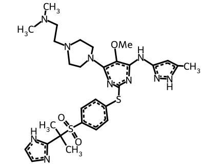 COc1c(Nc2cc(C)[nH]n2)nc(Sc2ccc(S(=O)(=O)C(C)(C)c3ncc[nH]3)cc2)nc1N1CCN(CCN(C)C)CC1